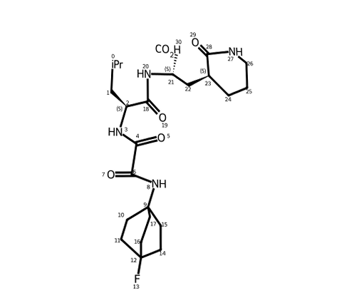 CC(C)C[C@H](NC(=O)C(=O)NC12CCC(F)(CC1)CC2)C(=O)N[C@@H](C[C@@H]1CCCNC1=O)C(=O)O